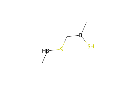 CBSCB(C)S